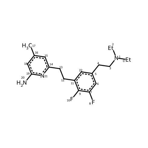 CCN(CC)CCc1cc(F)c(F)c(CCc2cc(C)cc(N)n2)c1